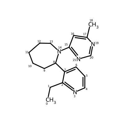 CCc1ncccc1C1CCCCCN1c1cc(C)ncn1